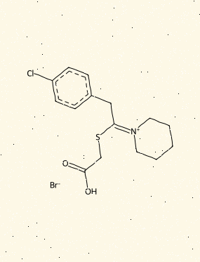 O=C(O)CSC(Cc1ccc(Cl)cc1)=[N+]1CCCCC1.[Br-]